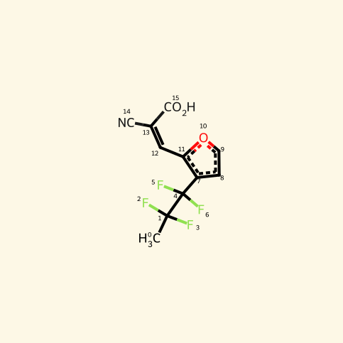 CC(F)(F)C(F)(F)c1ccoc1C=C(C#N)C(=O)O